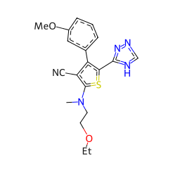 CCOCCN(C)c1sc(-c2nnc[nH]2)c(-c2cccc(OC)c2)c1C#N